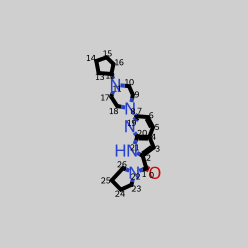 O=C(c1cc2ccc(N3CCN(C4CCCC4)CC3)nc2[nH]1)N1CCCC1